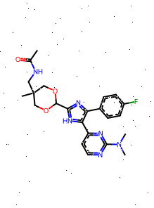 CC(=O)NCC1(C)COC(c2nc(-c3ccc(F)cc3)c(-c3ccnc(N(C)C)n3)[nH]2)OC1